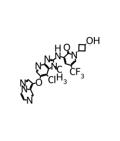 Cn1c(Nc2cc(C(F)(F)F)cn([C@H]3C[C@@H](O)C3)c2=O)nc2ncc(Oc3cnn4ccncc34)c(Cl)c21